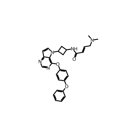 CN(C)C/C=C/C(=O)NC1CC(n2ccc3ncnc(Oc4ccc(Oc5ccccc5)cc4)c32)C1